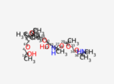 CCC(O)COCCC[Si](C)(C)O[Si](C)(C)CCCOCC(O)CNC(C)COCC(C)OCCOCC(C)NC